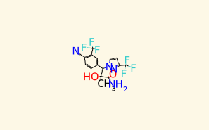 CC(O)(C(N)=O)C(c1ccc(C#N)c(C(F)(F)F)c1)n1ccc(C(F)(F)F)n1